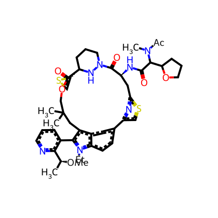 CCn1c(-c2cccnc2[C@H](C)OC)c2c3cc(ccc31)-c1csc(n1)C[C@H](NC(=O)C(C1CCCO1)N(C)C(C)=O)C(=O)N1CCC[C@@](C3=CS3)(N1)C(=O)OCC(C)(C)C2